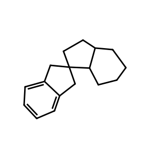 c1ccc2c(c1)CC1(CCC3CCCCC31)C2